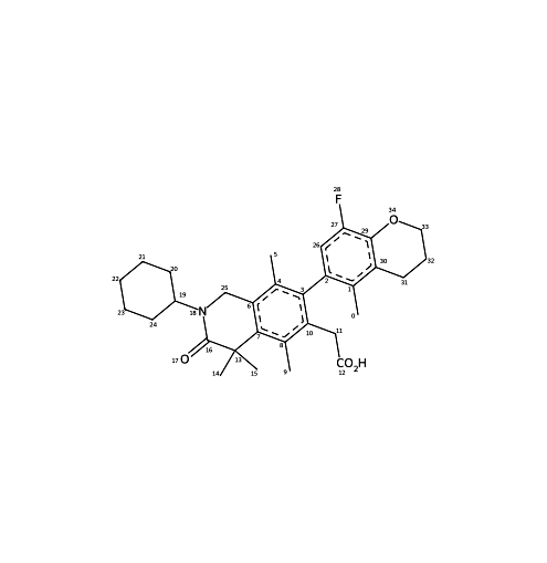 Cc1c(-c2c(C)c3c(c(C)c2CC(=O)O)C(C)(C)C(=O)N(C2CCCCC2)C3)cc(F)c2c1CCCO2